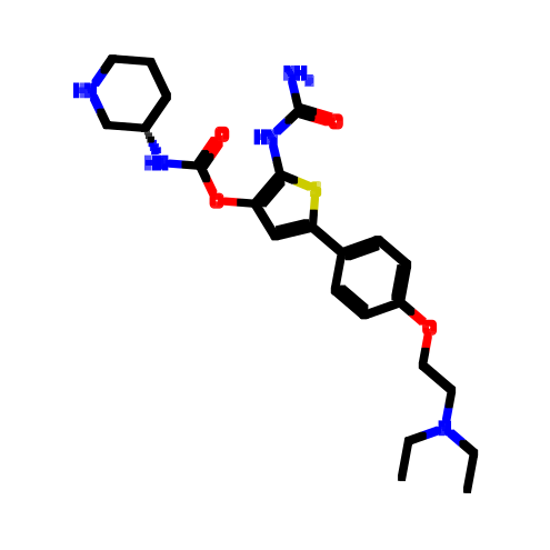 CCN(CC)CCOc1ccc(-c2cc(OC(=O)N[C@H]3CCCNC3)c(NC(N)=O)s2)cc1